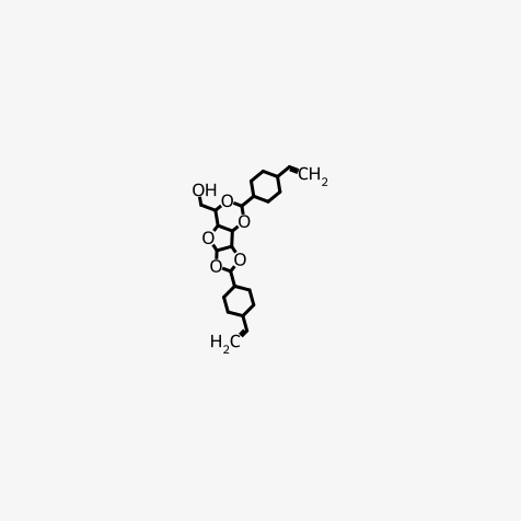 C=CC1CCC(C2OC3OC4C(CO)OC(C5CCC(C=C)CC5)OC4C3O2)CC1